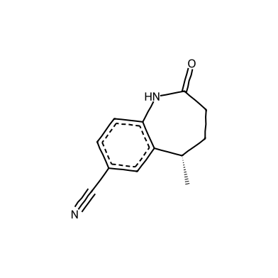 C[C@H]1CCC(=O)Nc2ccc(C#N)cc21